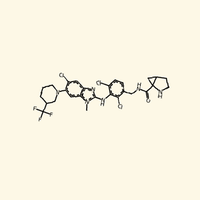 Cn1c(Nc2c(Cl)ccc(CNC(=O)C34CC3CCN4)c2Cl)nc2cc(Cl)c(N3CCCC(C(F)(F)F)C3)cc21